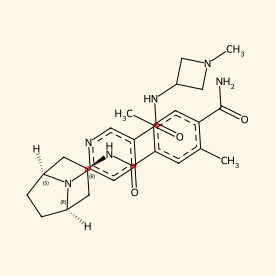 Cc1cc(C(=O)N[C@H]2C[C@H]3CC[C@@H](C2)N3c2ccc(C(=O)NC3CN(C)C3)cn2)c(C)cc1C(N)=O